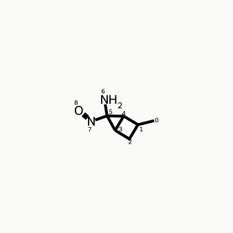 CC1CC2C1C2(N)N=O